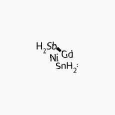 [Ni].[SbH2][Gd].[SnH2]